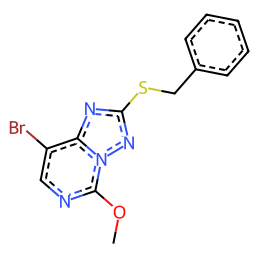 COc1ncc(Br)c2nc(SCc3ccccc3)nn12